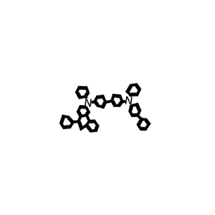 c1ccc(-c2ccc(N(c3ccccc3)c3ccc(-c4ccc(N(c5ccccc5)c5ccc6c(-c7ccccc7)cc7ccccc7c6c5)cc4)cc3)cc2)cc1